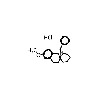 COc1ccc2c(c1)CCC1(CCCCN1Cc1ccccc1)C2.Cl